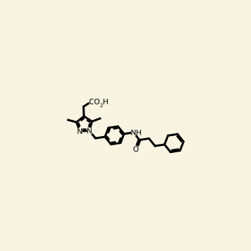 Cc1nn(Cc2ccc(NC(=O)CCC3C=CC=CC3)cc2)c(C)c1CC(=O)O